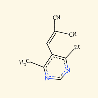 CCc1ncnc(C)c1C=C(C#N)C#N